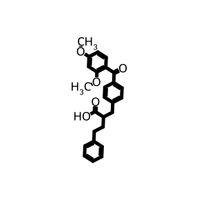 COc1ccc(C(=O)c2ccc(CC(CCc3ccccc3)C(=O)O)cc2)c(OC)c1